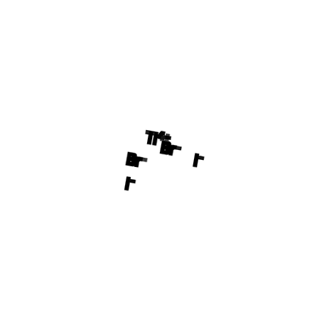 [Br-].[Br-].[I-].[I-].[Ti+4]